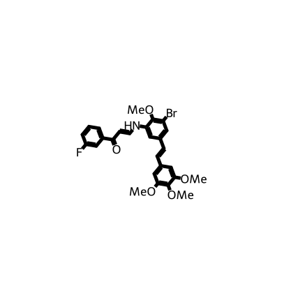 COc1cc(C=Cc2cc(Br)c(OC)c(NC=CC(=O)c3cccc(F)c3)c2)cc(OC)c1OC